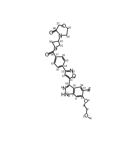 COCCOc1cc2[nH]nc(-c3cc(-c4ccc(C(=O)N5CC(N6CCOCC6=O)C5)cc4)no3)c2cc1F